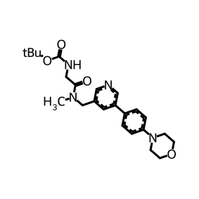 CN(Cc1cncc(-c2ccc(N3CCOCC3)cc2)c1)C(=O)CNC(=O)OC(C)(C)C